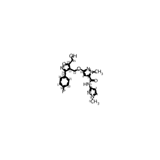 Cn1ccc(NC(=O)c2cc(OCc3c(-c4ccc(F)cc4)noc3CO)nn2C)n1